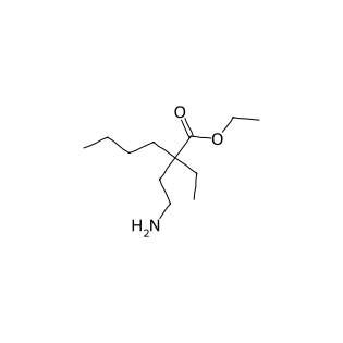 CCCCC(CC)(CCN)C(=O)OCC